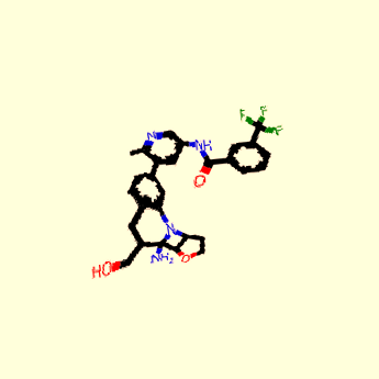 Cc1ncc(NC(=O)c2cccc(C(F)(F)F)c2)cc1-c1ccc2c(c1)N1C3CCOC3C1(N)C(CO)C2